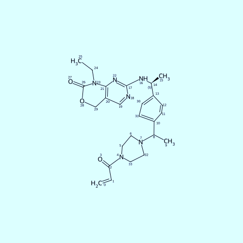 C=CC(=O)N1CCN(C(C)c2ccc([C@H](C)Nc3ncc4c(n3)N(CC)C(=O)OC4)cc2)CC1